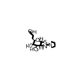 OCCC[C@H]1O[C@@H]2SC(N3CCCC3)=N[C@@H]2[C@@H](O)[C@@H]1O